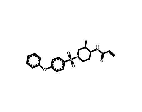 C=CC(=O)NC1CCN(S(=O)(=O)c2ccc(Oc3ccccc3)cc2)CC1C